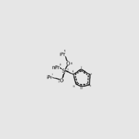 CCC[Si](OC(C)C)(OC(C)C)c1ccccc1